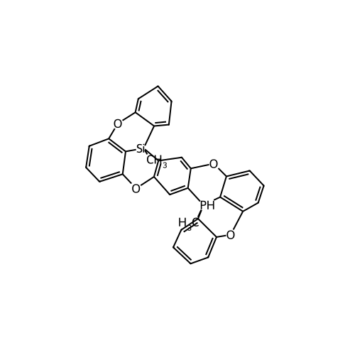 C[Si]12c3ccccc3Oc3cccc(c31)Oc1cc3c(cc12)Oc1cccc2c1[PH]3(C)c1ccccc1O2